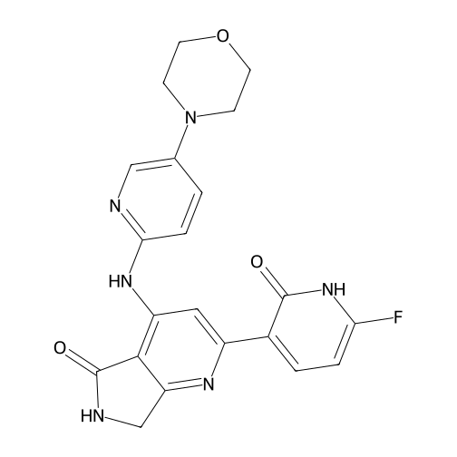 O=C1NCc2nc(-c3ccc(F)[nH]c3=O)cc(Nc3ccc(N4CCOCC4)cn3)c21